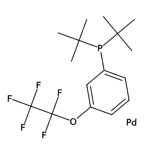 CC(C)(C)P(c1cccc(OC(F)(F)C(F)(F)F)c1)C(C)(C)C.[Pd]